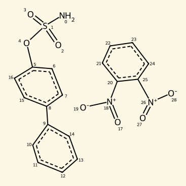 NS(=O)(=O)Oc1ccc(-c2ccccc2)cc1.O=[N+]([O-])c1ccccc1[N+](=O)[O-]